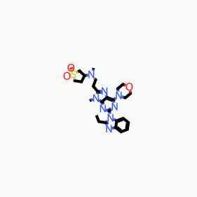 CCc1nc2ccccc2n1-c1nc(N2CCOCC2)c2nc(CCN(C)C3CCS(=O)(=O)C3)n(C)c2n1